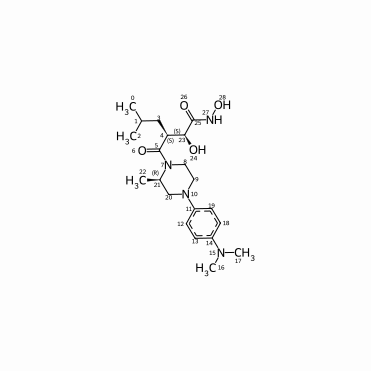 CC(C)C[C@H](C(=O)N1CCN(c2ccc(N(C)C)cc2)C[C@H]1C)[C@H](O)C(=O)NO